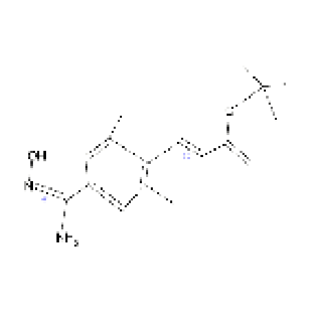 C=C(/C=C/c1c(C)cc(/C(N)=N\O)cc1C)OC(C)(C)C